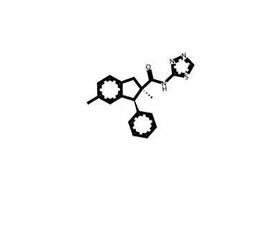 Cc1ccc2c(c1)[C@H](c1ccccc1)[C@](C)(C(=O)Nc1nncs1)C2